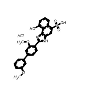 COc1cccc(-c2ccc(-c3nc4c(cc(S(=O)(=O)O)c5cccc(O)c54)[nH]3)c(OC)c2)c1.Cl